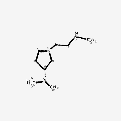 CNCCN1CC[C@@H](N(C)C)C1